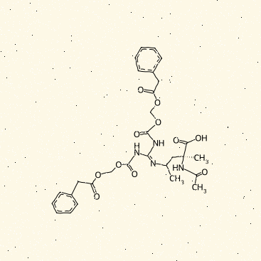 CC(=O)N[C@@](C)(CC(C)N=C(NC(=O)OCOC(=O)Cc1ccccc1)NC(=O)OCOC(=O)Cc1ccccc1)C(=O)O